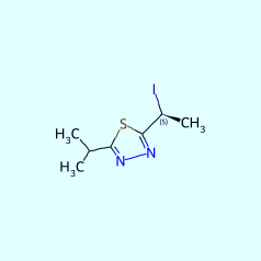 CC(C)c1nnc([C@H](C)I)s1